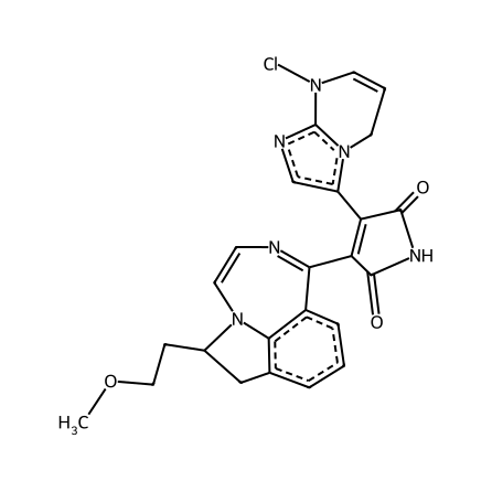 COCCC1Cc2cccc3c2N1C=CN=C3C1=C(c2cnc3n2CC=CN3Cl)C(=O)NC1=O